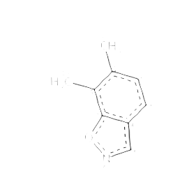 Cc1ccc2cnoc2c1C